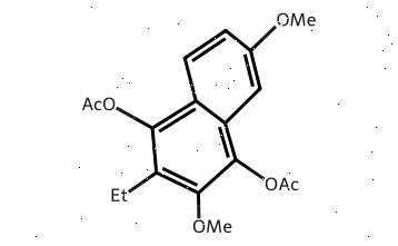 CCc1c(OC)c(OC(C)=O)c2cc(OC)ccc2c1OC(C)=O